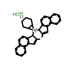 CC1=Cc2c(ccc3ccccc23)[CH]1[Hf]1([CH]2C(C)=Cc3c2ccc2ccccc32)[CH]2CCCC[CH]21.Cl.Cl